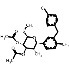 CS[C@H]1O[C@@H](c2ccc(C)c(Cc3ccc(Cl)cc3)c2)[C@H](C)[C@@H](OC(C)=O)[C@@H]1OC(C)=O